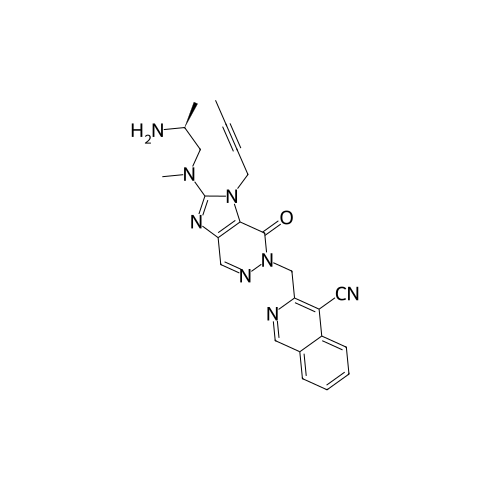 CC#CCn1c(N(C)C[C@H](C)N)nc2cnn(Cc3ncc4ccccc4c3C#N)c(=O)c21